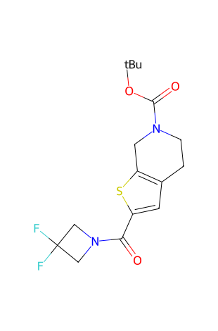 CC(C)(C)OC(=O)N1CCc2cc(C(=O)N3CC(F)(F)C3)sc2C1